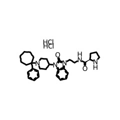 Cl.Cl.O=C(NCCn1c(=O)n(C2CCN(C3(c4ccccc4)CCCCCC3)CC2)c2ccccc21)[C@H]1CCCN1